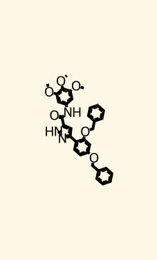 COc1cc(NC(=O)c2cc(-c3ccc(OCc4ccccc4)cc3OCc3ccccc3)n[nH]2)cc(OC)c1OC